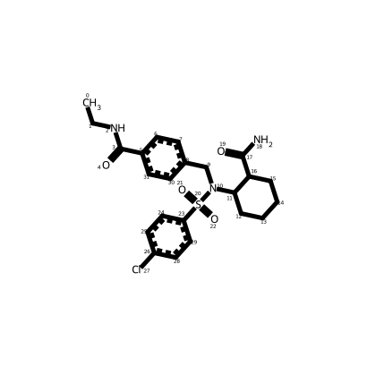 CCNC(=O)c1ccc(CN(C2CCCCC2C(N)=O)S(=O)(=O)c2ccc(Cl)cc2)cc1